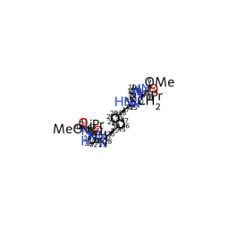 C=C([C@@H](NC(=O)OC)C(C)C)N1CCC[C@H]1c1ncc(C#Cc2cccc3c(C#Cc4cnc([C@@H]5CCCN5C(=O)[C@@H](NC(=O)OC)C(C)C)[nH]4)cccc23)[nH]1